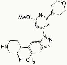 COc1nc(N2CCOCC2)cc(-n2ncc3cc(C)c([C@@H]4CCNC[C@@H]4F)cc32)n1